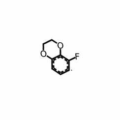 Fc1[c]ccc2c1OCCO2